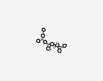 c1ccc(-c2ccc(N(c3ccccc3)c3ccc(-n4c5cccnc5c5c6oc7c(ncc8c7c7ccccc7n8-c7ccccc7)c6ccc54)cc3)cc2)cc1